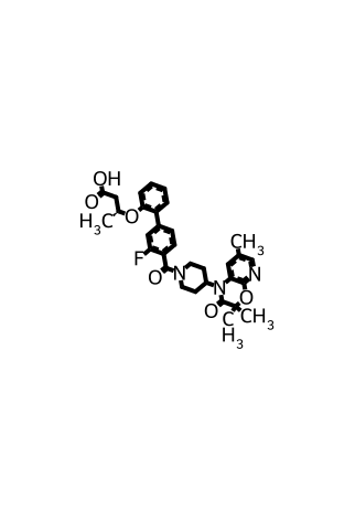 Cc1cnc2c(c1)N(C1CCN(C(=O)c3ccc(-c4ccccc4O[C@H](C)CC(=O)O)cc3F)CC1)C(=O)C(C)(C)O2